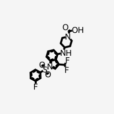 O=C(O)N1CCC(Nc2cccc3c2c(C(F)F)cn3S(=O)(=O)c2cccc(F)c2)CC1